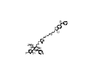 COC(=O)C1=C(COCc2cn(CCOCCOCCNC(=O)c3ccc(C(=O)c4ccccc4)cc3)nn2)NC(c2ccncc2)=NC1c1ccc(F)cc1Cl